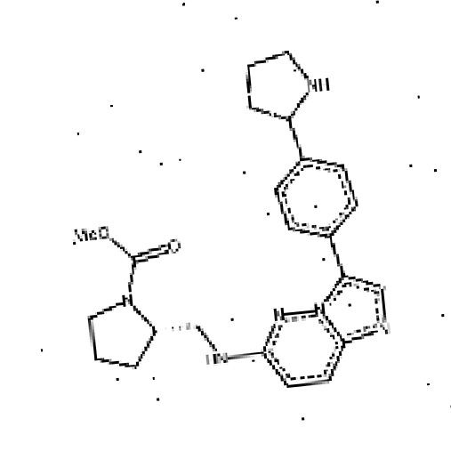 COC(=O)N1CCC[C@H]1CNc1ccc2ncc(-c3ccc(C4CCCN4)cc3)n2n1